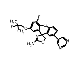 CC(C)(F)COc1cc(F)c2c(c1)[C@]1(COC(N)=N1)c1cc(-c3cncnc3)ccc1O2